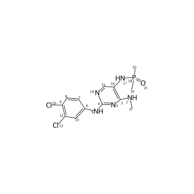 CNc1nc(Nc2ccc(Cl)c(Cl)c2)ncc1NP(C)(C)=O